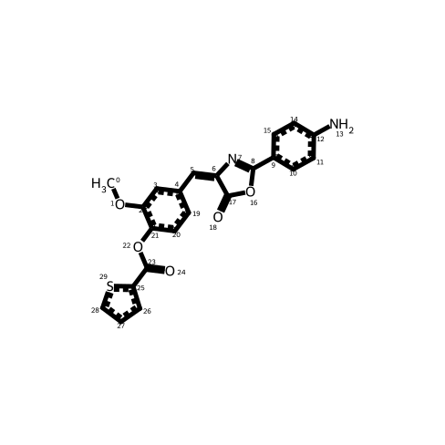 COc1cc(/C=C2/N=C(c3ccc(N)cc3)OC2=O)ccc1OC(=O)c1cccs1